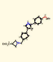 CCOC(=O)C1CN(Cc2ccc(-c3cnc(-c4ccc(OC(C)C)cc4)[se]3)cc2)C1